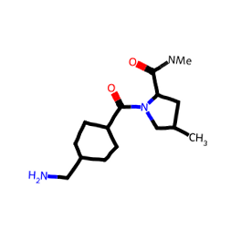 CNC(=O)C1CC(C)CN1C(=O)C1CCC(CN)CC1